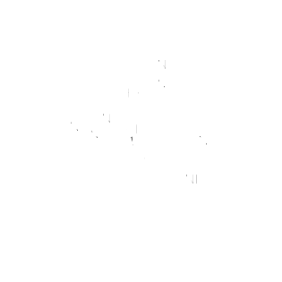 C[C@@H](Oc1cc(-c2ccnn2C)cnc1N)c1cc(F)ccc1-n1nccn1